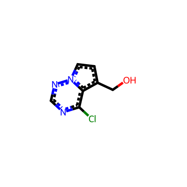 OCc1ccn2ncnc(Cl)c12